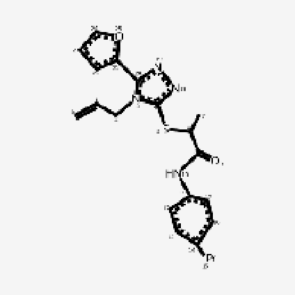 C=CCn1c(SC(C)C(=O)Nc2ccc(C(C)C)cc2)nnc1-c1ccco1